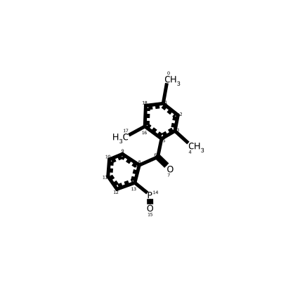 Cc1cc(C)c(C(=O)c2ccccc2P=O)c(C)c1